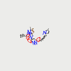 Cc1ccc([C@@H]2C[C@H]2COc2cc(N(Cc3nnc(C)s3)C(=O)OC(C)(C)C)c(=O)n(C)n2)nc1